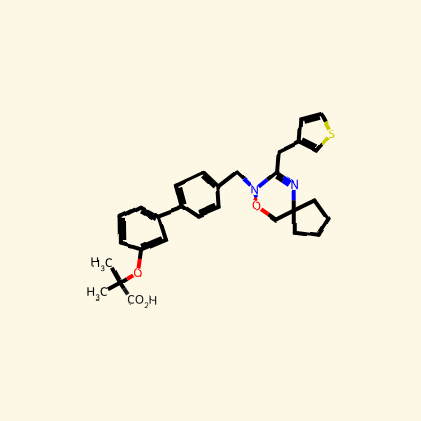 CC(C)(Oc1cccc(-c2ccc(CN3OCC4(CCCC4)N=C3Cc3ccsc3)cc2)c1)C(=O)O